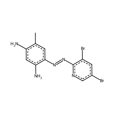 Cc1cc(N=Nc2ncc(Br)cc2Br)c(N)cc1N